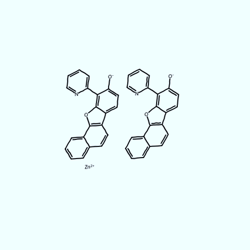 [O-]c1ccc2c(oc3c4ccccc4ccc23)c1-c1ccccn1.[O-]c1ccc2c(oc3c4ccccc4ccc23)c1-c1ccccn1.[Zn+2]